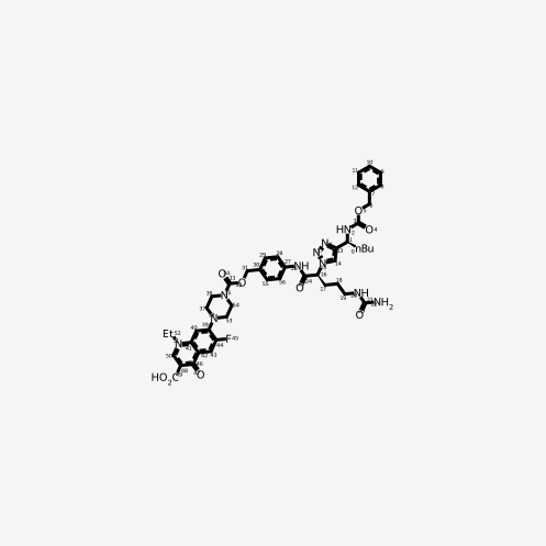 CCCC[C@H](NC(=O)OCc1ccccc1)c1cn([C@@H](CCCNC(N)=O)C(=O)Nc2ccc(COC(=O)N3CCN(c4cc5c(cc4F)c(=O)c(C(=O)O)cn5CC)CC3)cc2)nn1